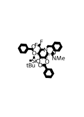 CNC(=O)[C@@H]1[C@@H](OC(=O)c2ccccc2)[C@@H](O[Si](C)(C)C(C)(C)C)[C@H](OC(=O)c2ccccc2)[C@@H](C(F)F)N1Cc1ccccc1